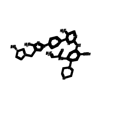 C=CC(=O)Nc1cc(Nc2ncc(C)c(-c3ccc(-n4cc(CN5CC[C@H](O)C5)c(C)n4)cc3)n2)c(OC)cc1N1CCOCC1